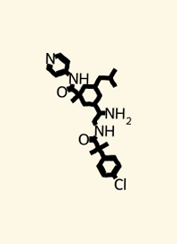 CC(C)CC1CC(C(N)CNC(=O)C(C)(C)c2ccc(Cl)cc2)CC(C)(C(=O)Nc2ccncc2)C1